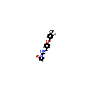 O=C1CCCN1CCNCc1ccc(OCc2ccc(C(F)(F)F)cc2)cc1